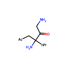 CCCC(N)(CC(C)=O)C(=O)CN